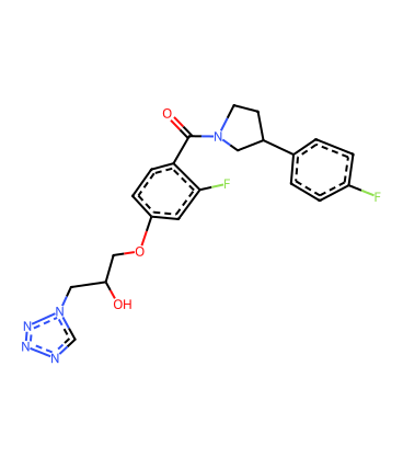 O=C(c1ccc(OCC(O)Cn2cnnn2)cc1F)N1CCC(c2ccc(F)cc2)C1